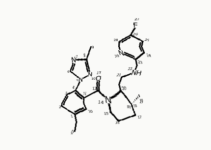 Cc1ccc(-n2cnc(C)n2)c(C(=O)N2CCC[C@@H](C)C2CNc2ccc(F)cn2)c1